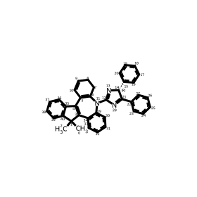 CC1(C)C2=C(C3=C(CCC=C3)N(C3=N[C@H](c4ccccc4)C(c4ccccc4)=N3)c3ccccc32)c2ccccc21